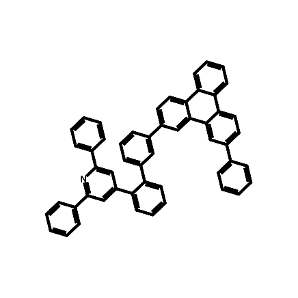 c1ccc(-c2ccc3c4ccccc4c4ccc(-c5cccc(-c6ccccc6-c6cc(-c7ccccc7)nc(-c7ccccc7)c6)c5)cc4c3c2)cc1